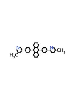 Cc1ccc(-c2ccc(-c3c4ccccc4c(-c4ccc(-c5cncc(C)c5)cc4)c4ccccc34)cc2)nc1